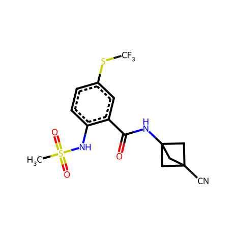 CS(=O)(=O)Nc1ccc(SC(F)(F)F)cc1C(=O)NC12CC(C#N)(C1)C2